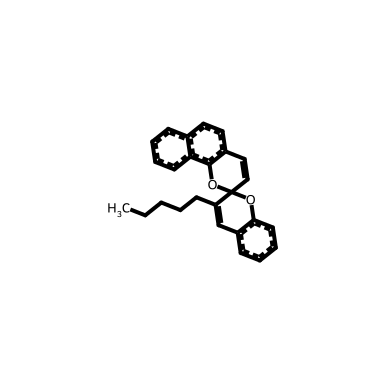 CCCCCC1=Cc2ccccc2OC12C=Cc1ccc3ccccc3c1O2